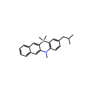 CC(C)Cc1ccc2c(c1)[Si](C)(C)c1cc3ccccc3cc1N2C